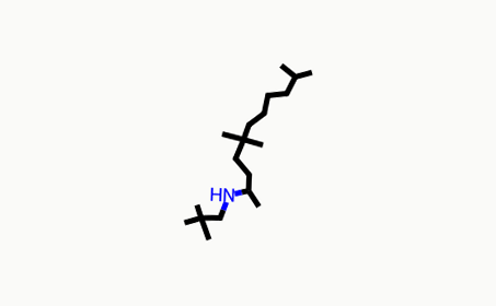 CC(C)CCCCC(C)(C)CCC(C)NCC(C)(C)C